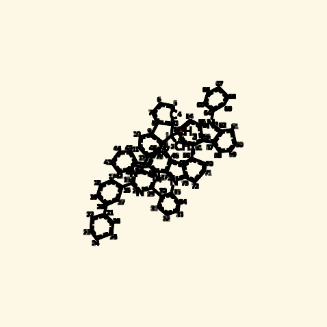 CC1(C)c2ccccc2-c2ccc(-c3nc(-c4cccc(-c5ccccc5)c4)nc(-c4ccccc4-n4c5cc(-c6ccccc6)ccc5c5c(-c6cccc7c6c6ccccc6n7-c6ccccc6)cccc54)n3)cc21